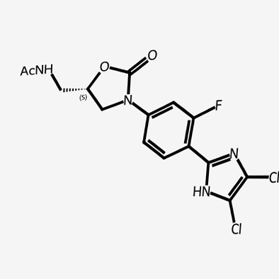 CC(=O)NC[C@H]1CN(c2ccc(-c3nc(Cl)c(Cl)[nH]3)c(F)c2)C(=O)O1